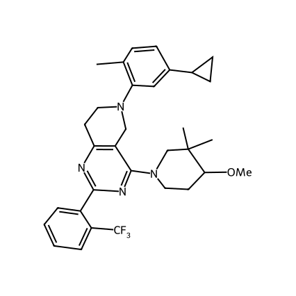 COC1CCN(c2nc(-c3ccccc3C(F)(F)F)nc3c2CN(c2cc(C4CC4)ccc2C)CC3)CC1(C)C